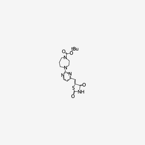 CC(C)(C)OC(=O)N1CCCN(c2nccc(/C=C3\SC(=O)NC3=O)n2)CC1